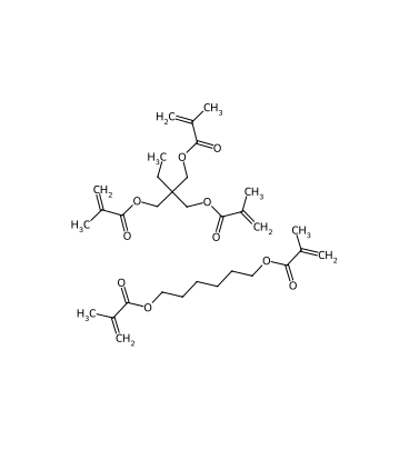 C=C(C)C(=O)OCC(CC)(COC(=O)C(=C)C)COC(=O)C(=C)C.C=C(C)C(=O)OCCCCCCOC(=O)C(=C)C